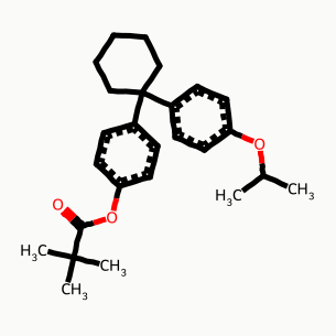 CC(C)Oc1ccc(C2(c3ccc(OC(=O)C(C)(C)C)cc3)CCCCC2)cc1